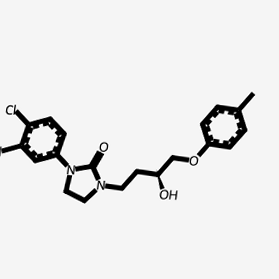 Cc1ccc(OC[C@@H](O)CCN2CCN(c3ccc(Cl)c(Cl)c3)C2=O)cc1